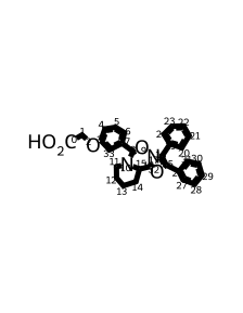 O=C(O)COc1cccc(C(=O)N2CCCCC2c2nc(-c3ccccc3)c(-c3ccccc3)o2)c1